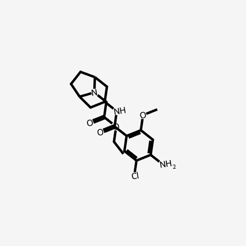 CCOC(=O)CN1C2CCC1CC(NC(=O)c1cc(Cl)c(N)cc1OC)C2